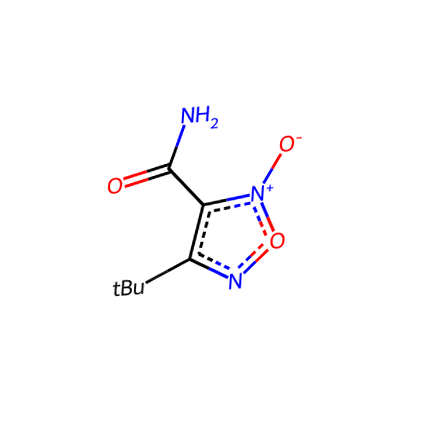 CC(C)(C)c1no[n+]([O-])c1C(N)=O